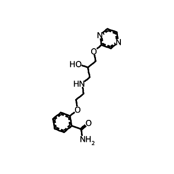 NC(=O)c1ccccc1OCCNCC(O)COc1cnccn1